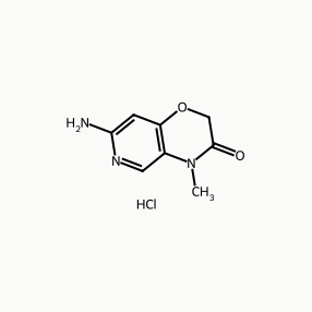 CN1C(=O)COc2cc(N)ncc21.Cl